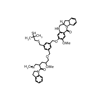 C=NCC(CC(COCc1cc(COc2cc3c(cc2OC)C(=O)N2C4C=CC=CC4C[C@H]2CN3)cc(CSCC(C)(C)S)c1)OC)C(=O)N1CCc2ccccc21